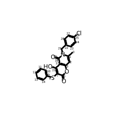 Cc1cc2oc(=O)c(Sc3ccccc3)c(O)c2c(=O)n1Cc1ccc(Cl)cc1